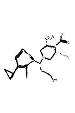 COCC[C@H](c1nccc(C2CC2)c1F)N1C[C@@H](C)N(C(=O)C(C)C)[C@@H](C(=O)O)C1